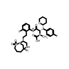 CN(C(=O)O)[C@H](C(=O)Nc1cccc(F)c1CC[C@H]1CN[C@@H]2CCCS(=O)(=O)N1C2)C(c1ccc(F)cc1)[C@H]1CCCCO1